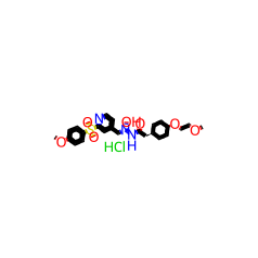 COCCO[C@H]1CC[C@H](CC(=O)NN(O)Cc2ccnc(S(=O)(=O)c3ccc(OC)cc3)c2)CC1.Cl